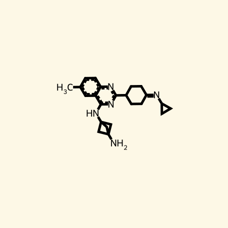 Cc1ccc2nc(C3CCC(=NC4CC4)CC3)nc(NC34CC(N)(C3)C4)c2c1